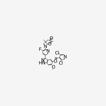 COc1cc2[nH]nc(-c3cnc(N4CC(C)(CS(C)(=O)=O)C4)c(F)c3)c2cc1O[C@H](C)c1c(Cl)cncc1Cl